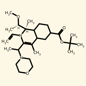 C=CN1C(C(C)N2CCOCC2)=C(C)C2CC(C(=O)OC(C)(C)C)CCC2[C@]1(C)[C@H](C)OC